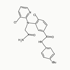 CC(C)(C)c1ccc(NC(=O)c2ccc(Cl)c(N(CC(N)=O)c3ncccc3Cl)c2)cc1